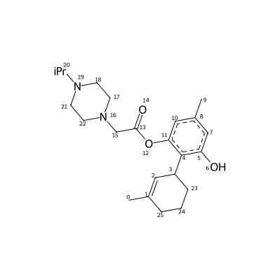 CC1=CC(c2c(O)cc(C)cc2OC(=O)CN2CCN(C(C)C)CC2)CCC1